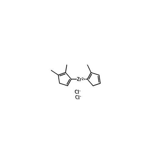 CC1=[C]([Zr+2][C]2=CCC(C)=C2C)CC=C1.[Cl-].[Cl-]